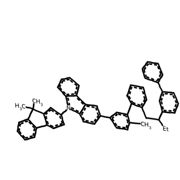 CCC(Cc1ccccc1-c1cc(-c2ccc3c(c2)c2ccccc2n3-c2ccc3c(c2)C(C)(C)c2ccccc2-3)ccc1C)c1cccc(-c2ccccc2)c1